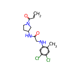 C=CC(=O)N1CCC(NC(=O)CNc2cc(Cl)c(Cl)cc2C)C1